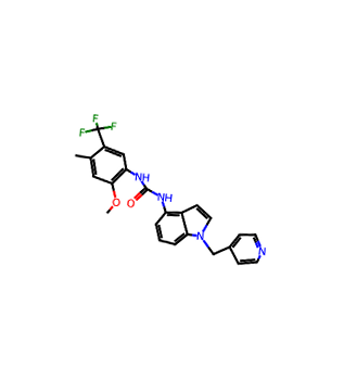 COc1cc(C)c(C(F)(F)F)cc1NC(=O)Nc1cccc2c1ccn2Cc1ccncc1